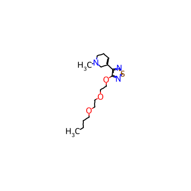 CCCCOCCOCCOc1nsnc1C1=CCCN(C)C1